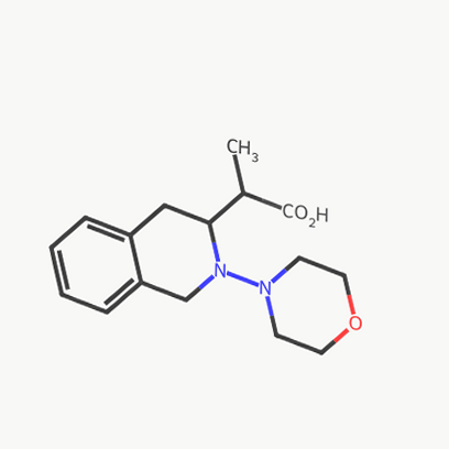 CC(C(=O)O)C1Cc2ccccc2CN1N1CCOCC1